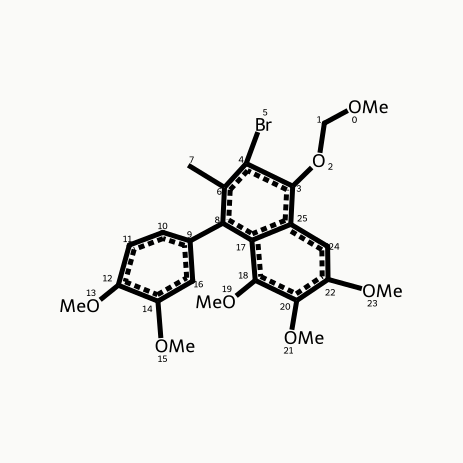 COCOc1c(Br)c(C)c(-c2ccc(OC)c(OC)c2)c2c(OC)c(OC)c(OC)cc12